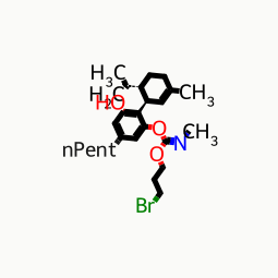 C=C(C)[C@@H]1CCC(C)=C[C@H]1c1c(O)cc(CCCCC)cc1O/C(=N\C)OCCCBr